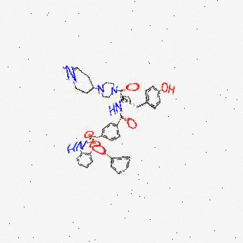 CN1CCC(N2CCN(C(=O)[C@H](Cc3ccc(O)cc3)NC(=O)c3ccc(S(=O)(=O)Nc4ccccc4Oc4ccccc4)cc3)CC2)CC1